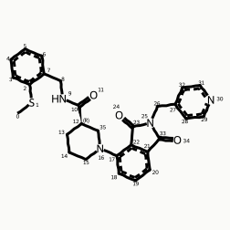 CSc1ccccc1CNC(=O)[C@@H]1CCCN(c2cccc3c2C(=O)N(Cc2ccncc2)C3=O)C1